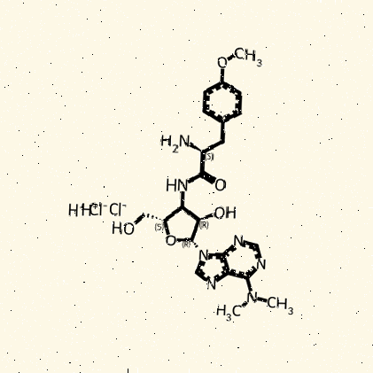 COc1ccc(C[C@H](N)C(=O)NC2[C@@H](O)[C@H](n3cnc4c(N(C)C)ncnc43)O[C@@H]2CO)cc1.[Cl-].[Cl-].[H+].[H+]